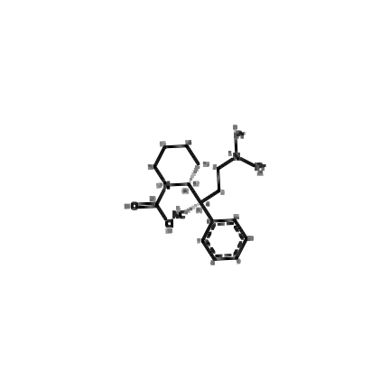 CC(C)N(CC[C@@](C#N)(c1ccccc1)[C@H]1CCCCN1C(=O)Cl)C(C)C